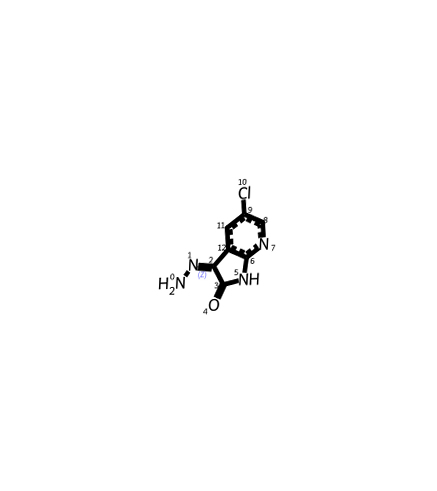 N/N=C1\C(=O)Nc2ncc(Cl)cc21